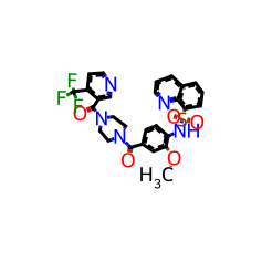 COc1cc(C(=O)N2CCN(C(=O)c3cnccc3C(F)(F)F)CC2)ccc1NS(=O)(=O)c1cccc2cccnc12